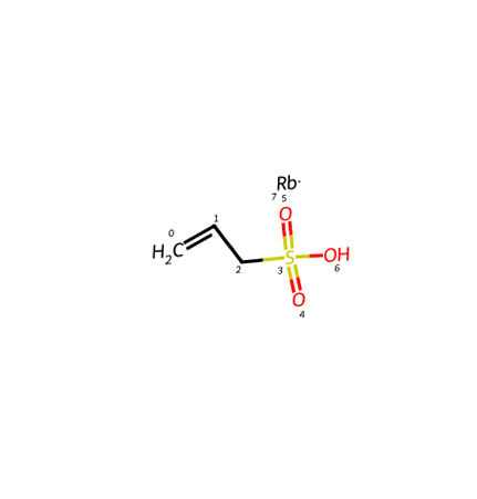 C=CCS(=O)(=O)O.[Rb]